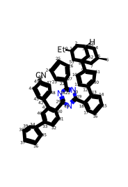 CC[C@H]1C[C@H]2C[C@@H](C)CC(c3ccc(-c4ccccc4-c4nc(-c5ccccc5)nc(-c5ccc(-c6ccccc6)cc5-c5ccc(C#N)cc5)n4)cc3)(C2)C1